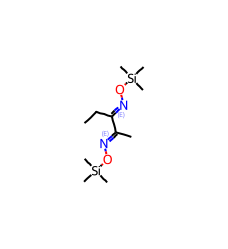 CCC(=N\O[Si](C)(C)C)/C(C)=N/O[Si](C)(C)C